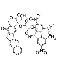 CC[C@@]1(OC(=O)[C@@H](C)O/N=C2/c3cc([N+](=O)[O-])cc(C)c3-c3c2cc([N+](=O)[O-])cc3[N+](=O)[O-])C(=O)OCc2c1cc1n(c2=O)Cc2cc3ccccc3nc2-1